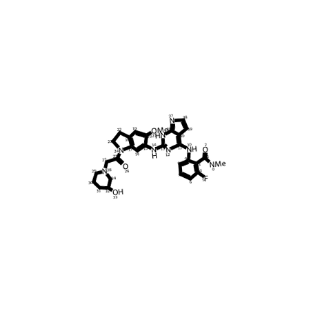 CNC(=O)c1c(F)cccc1Nc1nc(Nc2cc3c(cc2OC)CCN3C(=O)CN2CCCC(O)C2)[nH]c2nccc1-2